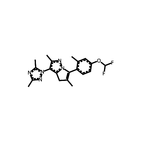 CC1=C(c2ccc(OC(F)F)cc2C)n2nc(C)c(-n3nc(C)nc3C)c2C1